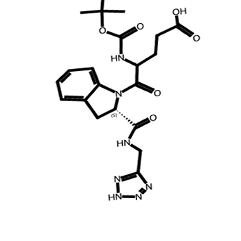 CC(C)(C)OC(=O)NC(CCC(=O)O)C(=O)N1c2ccccc2C[C@H]1C(=O)NCc1nn[nH]n1